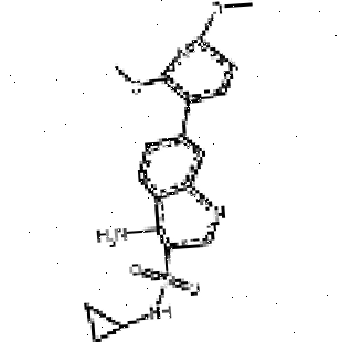 COc1ncc(-c2ccc3c(N)c(S(=O)(=O)NC4CC4)cnc3c2)c(OC)n1